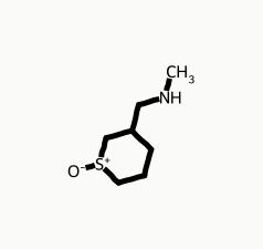 CNCC1CCC[S+]([O-])C1